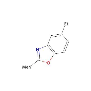 CCc1ccc2oc(NC)nc2c1